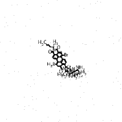 Bc1cc2c3c(ccc4c5c(Br)cc6c7c(ccc(c1c34)c75)C(=O)N(C(C)CCCC)C6=O)C(=O)N(C(C)NC(N)(N)C(N)(N)C(N)(N)C(N)N)C2=O